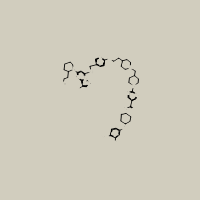 CCc1cnn2c(NCc3ccc(OCCC4CCN(CC5CCN(c6ncc(C(=O)N[C@H]7CC[C@H](Oc8ccc(C#N)c(Cl)c8)CC7)cn6)CC5)CC4)nc3)cc(N3CCCCC3CCO)nc12